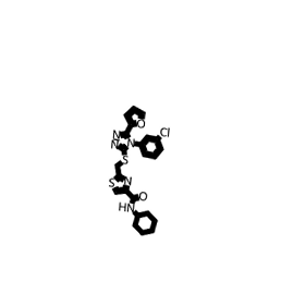 O=C(NC1CCCCC1)c1csc(CSc2nnc(-c3ccco3)n2-c2cccc(Cl)c2)n1